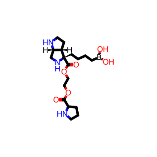 O=C(OCCOC(=O)[C@]1(CCCCB(O)O)NC[C@@H]2NCC[C@@H]21)C1CCCN1